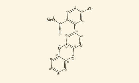 COC(=O)c1ccc(Cl)cc1-c1ccc2c(c1)Oc1ccccc1O2